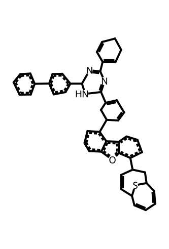 C1=CC2C=CC(c3cccc4c3oc3cccc(C5C=CC=C(C6=NC(C7=CCCC=C7)=NC(c7ccc(-c8ccccc8)cc7)N6)C5)c34)CC(C=C1)S2